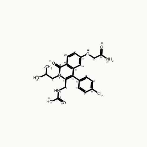 CC(C)Cn1c(CNC(=O)O)c(-c2ccc(Cl)cc2)c2cc(OCC(N)=O)ccc2c1=O